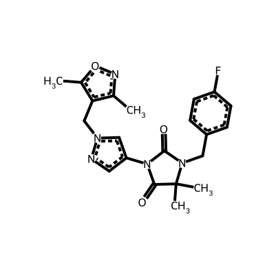 Cc1noc(C)c1Cn1cc(N2C(=O)N(Cc3ccc(F)cc3)C(C)(C)C2=O)cn1